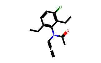 C=C=CN(C(C)=O)c1c(CC)ccc(Cl)c1CC